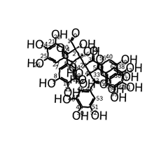 O=C[C@@](O)(C(=O)c1cc(O)c(O)c(O)c1)[C@@](O)(C(=O)c1cc(O)c(O)c(O)c1)[C@@](O)(C(=O)c1cc(O)c(O)c(O)c1)C(O)(C(=O)c1cc(O)c(O)c(O)c1)C(=O)c1cc(O)c(O)c(O)c1